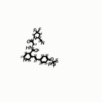 N#CC1CC(F)(F)CN1C(=O)CNC(=O)c1ccncc1C=Cc1ccc(OC(F)(F)F)cc1